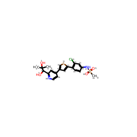 CC(C)(O)C(O)c1cc(-c2csc(-c3ccc(NS(C)(=O)=O)cc3Cl)c2)ccn1